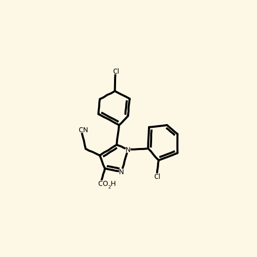 N#CCc1c(C(=O)O)nn(-c2ccccc2Cl)c1C1=CCC(Cl)C=C1